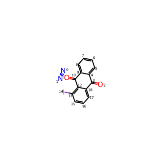 N#N.O=C1c2ccccc2C(=O)c2c(I)cccc21